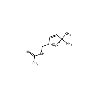 CC(=N)NCC/C=C\[C@](C)(N)C(=O)O